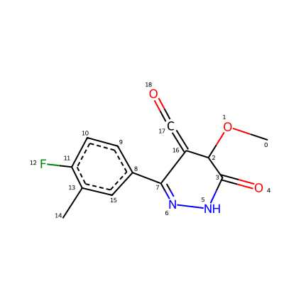 COC1C(=O)NN=C(c2ccc(F)c(C)c2)C1=C=O